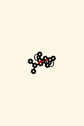 c1ccc(-c2cc(-c3ccccc3)cc(-c3ccc(N(c4ccccc4-c4cccc5oc6ccccc6c45)c4cccc5oc6c7ccccc7ccc6c45)cc3)c2)cc1